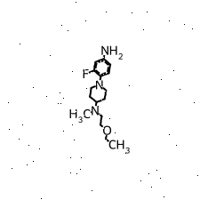 CCOCCN(C)C1CCN(c2ccc(N)cc2F)CC1